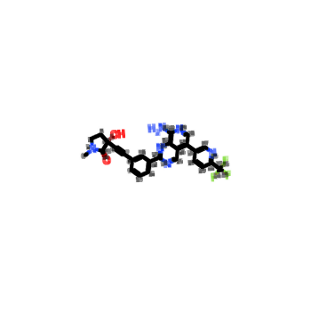 CN1CC[C@@](O)(C#Cc2cccc(-c3ncc4c(-c5ccc(C(F)(F)F)nc5)cnc(N)c4n3)c2)C1=O